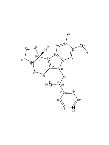 COc1cc2c(cc1C)c1c(n2C[C@@H](O)c2ccncc2)CCN2CCC[C@H]12